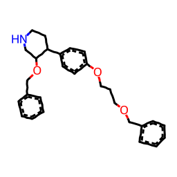 c1ccc(COCCCOc2ccc(C3CCNCC3OCc3ccccc3)cc2)cc1